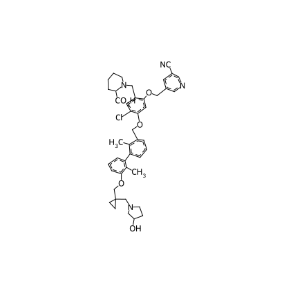 Cc1c(COc2cc(OCc3cncc(C#N)c3)c(CN3CCCCC3C(=O)O)cc2Cl)cccc1-c1cccc(OCC2(CN3CCC(O)C3)CC2)c1C